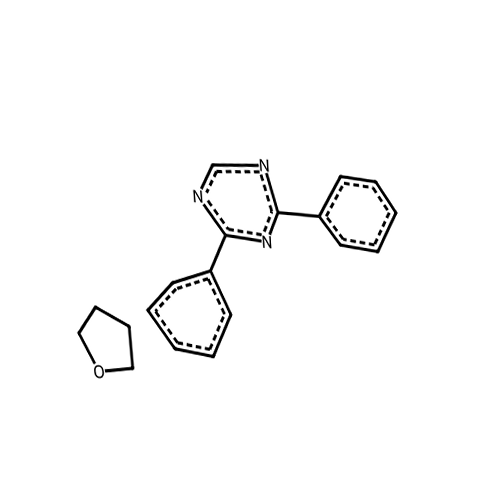 C1CCOC1.c1ccc(-c2ncnc(-c3ccccc3)n2)cc1